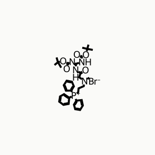 CN(CCC[P+](c1ccccc1)(c1ccccc1)c1ccccc1)CC(=O)N/C(=N\C(=O)OC(C)(C)C)NC(=O)OC(C)(C)C.[Br-]